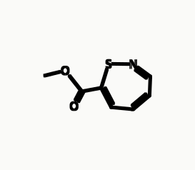 COC(=O)C1=CC=CC=NS1